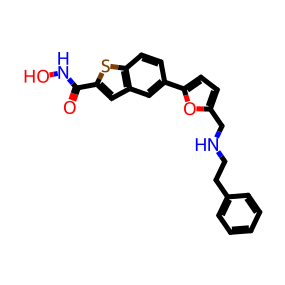 O=C(NO)c1cc2cc(-c3ccc(CNCCc4ccccc4)o3)ccc2s1